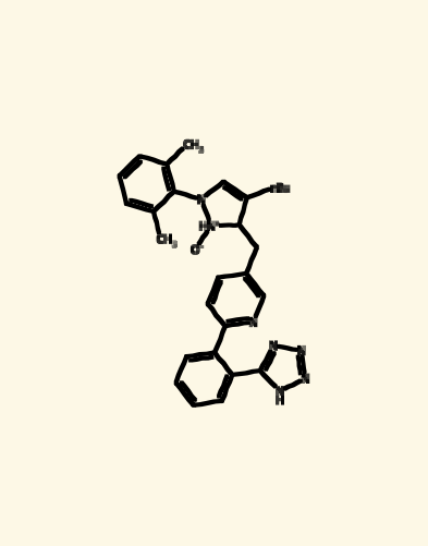 CCCCC1=CN(c2c(C)cccc2C)[NH+]([O-])C1Cc1ccc(-c2ccccc2-c2nnn[nH]2)nc1